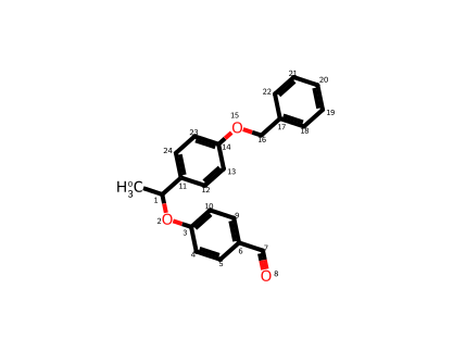 CC(Oc1ccc(C=O)cc1)c1ccc(OCc2ccccc2)cc1